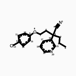 CCCC(C#N)(CCOc1ccc(Cl)cc1)c1cccnc1